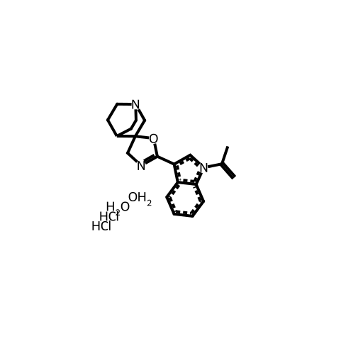 C=C(C)n1cc(C2=NCC3(CN4CCC3CC4)O2)c2ccccc21.Cl.Cl.O.O